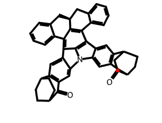 CC12Cc3ccccc3-c3c1c(c1c4cc5c(cc4n4c6cc7c(cc6c3c14)C1CCC(CC1)C7=O)C(=O)C1CCC5CC1)-c1ccccc1C2